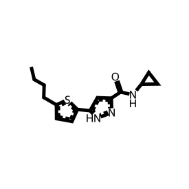 CCCCc1ccc(-c2cc(C(=O)NC3CC3)n[nH]2)s1